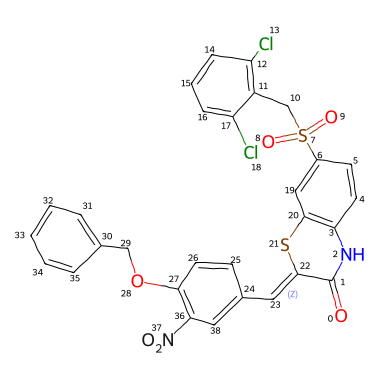 O=C1Nc2ccc(S(=O)(=O)Cc3c(Cl)cccc3Cl)cc2S/C1=C\c1ccc(OCc2ccccc2)c([N+](=O)[O-])c1